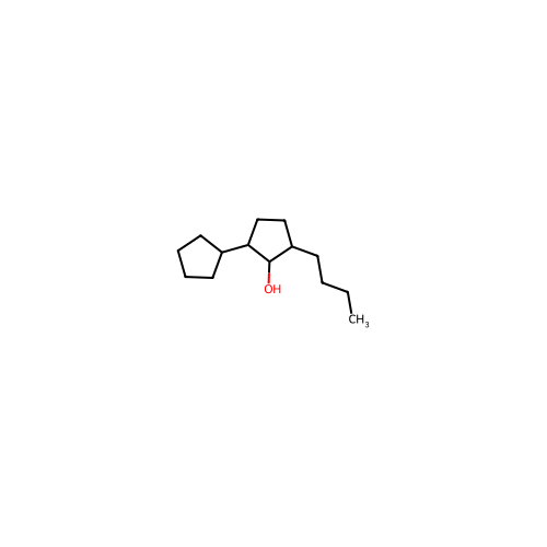 CCCCC1CCC(C2CCCC2)C1O